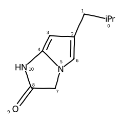 CC(C)Cc1cc2n(c1)CC(=O)N2